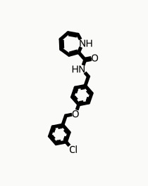 O=C(NCc1ccc(OCc2cccc(Cl)c2)cc1)C1=CC=CC=CN1